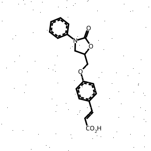 O=C(O)/C=C/c1ccc(OCC2CN(c3ccccc3)C(=O)O2)cc1